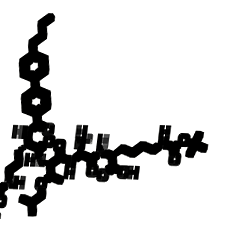 CCCCc1ccc(-c2ccc(C(=O)N[C@@H](CCCNC(=O)OC(C)(C)C)C(=O)N[C@H](C(=O)N[C@@H](N)C(=O)N[C@@H](CCCCNC(=O)OC(C)(C)C)C(=O)O)C(C)OCC(C)C)cc2)cc1